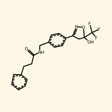 O=C(CCc1ccccc1)NCc1ccc(C2=NOC(O)(C(F)(F)F)C2)cc1